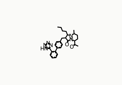 CCCCC1C(Cc2ccc(-c3ccccc3-c3nnn[nH]3)cc2)C(=O)N2C(C(C)=O)CCC(C)N12